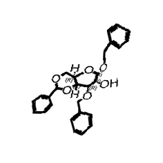 O[C@H]1[C@H](OCc2ccccc2)O[C@@H]2COC(c3ccccc3)O[C@H]2[C@@H]1OCc1ccccc1